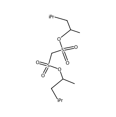 CC(C)CC(C)OS(=O)(=O)CS(=O)(=O)OC(C)CC(C)C